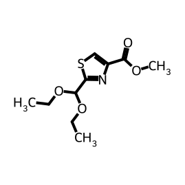 CCOC(OCC)c1nc(C(=O)OC)cs1